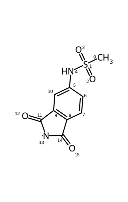 CS(=O)(=O)Nc1ccc2c(c1)C(=O)[N]C2=O